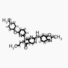 C=CCn1c(=O)c2cnc(Nc3ccc4nc(C)oc4c3)nc2n1-c1cccc(OC2CCN(C)CC2)n1